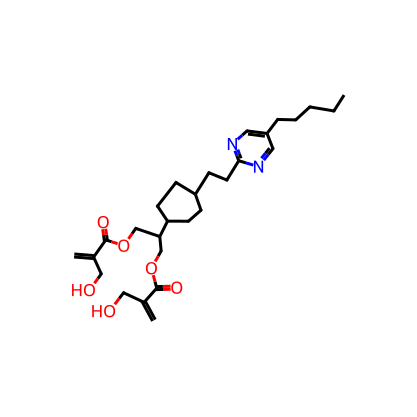 C=C(CO)C(=O)OCC(COC(=O)C(=C)CO)C1CCC(CCc2ncc(CCCCC)cn2)CC1